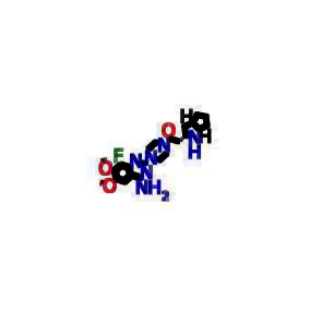 COc1cc2c(N)nc(N3CCN(C(=O)C[C@@H]4C[C@@H]5CCC[C@@H]5N4)CC3)nc2c(F)c1OC